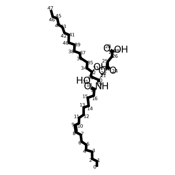 CCCCCCCC/C=C\CCCCCCCC(=O)N[C@@H](COC(=O)CCC(=O)O)C(O)[C@H](O)CCCCCCCCCCCCCC